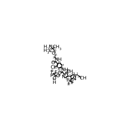 C#CCn1cc(-c2cnc(C(=O)Nc3ccc(C(=O)NCCOCC(C)(C)N)c(Cl)c3)n2C)c(C(F)(F)F)n1.O=C(O)C(F)(F)F